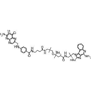 BC(C)(CCC(=O)NCC(C)(C)Cn1c(CCCC)nc2c(N)nc3ccccc3c21)OCC(C)(C)CNC(=O)CCCNC(=O)c1ccc(NCc2cnc3nc(N)[nH]c(=O)c3n2)cc1